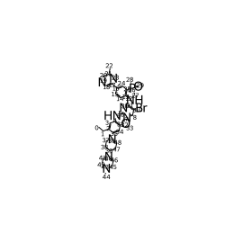 CCc1cc(Nc2ncc(Br)c(Nc3ccc(-c4cncc(C)n4)cc3P(C)(C)=O)n2)c(OC)cc1N1CCC(N2CCN(C)CC2)CC1